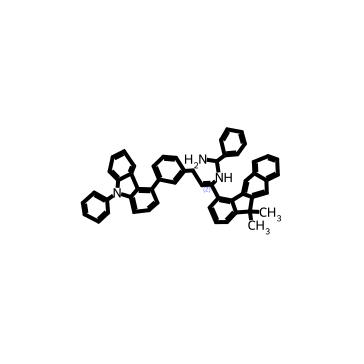 CC1(C)c2cc3ccccc3cc2-c2c(/C(=C/Cc3cccc(-c4cccc5c4c4ccccc4n5-c4ccccc4)c3)NC(N)c3ccccc3)cccc21